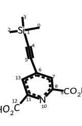 C[Si](C)(C)C#Cc1cc(C(=O)O)nc(C(=O)O)c1